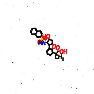 C=C(C(=O)O)c1cccc2c1OC1CC(O)C(NS(=O)(=O)c3ccc4ccccc4c3)C21